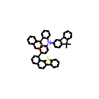 CC1(C)c2ccccc2-c2cc(N(c3ccc(-c4cccc5ccc6c7ccccc7sc6c45)cc3)c3ccccc3-c3cccc4ccccc34)ccc21